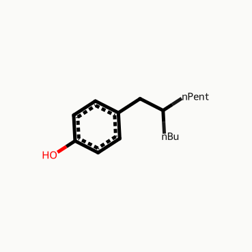 CCCCCC(CCCC)Cc1ccc(O)cc1